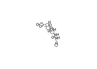 C[C@]12CC[C@H](NC(=O)NCCN3CCCC3)C[C@H]1CC[C@@H]1[C@@H]2CC[C@]2(C)[C@@H](c3ccc(=O)oc3)C[C@H]3O[C@]132